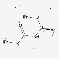 CC(=O)[C@H](CC(C)C)NC(=O)CC(C)C